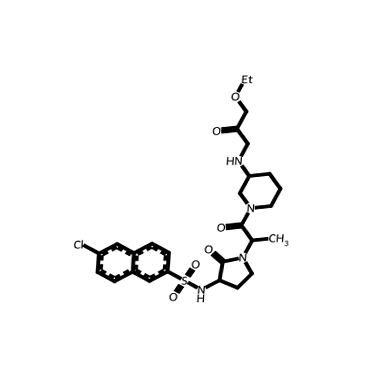 CCOCC(=O)CNC1CCCN(C(=O)C(C)N2CCC(NS(=O)(=O)c3ccc4cc(Cl)ccc4c3)C2=O)C1